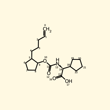 C=CCCCC1CCCC1OC(=O)N[C@H](C(=O)O)C1CCCC1